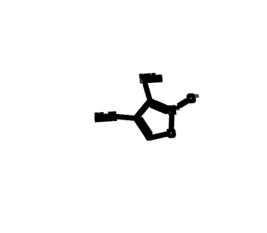 CNc1co[n+]([O-])c1NC